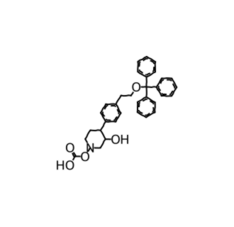 O=C(O)ON1CCC(c2ccc(CCOC(c3ccccc3)(c3ccccc3)c3ccccc3)cc2)C(O)C1